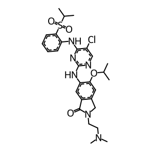 CC(C)Oc1cc2c(cc1Nc1ncc(Cl)c(Nc3ccccc3S(=O)(=O)C(C)C)n1)C(=O)N(CCN(C)C)C2